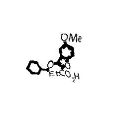 CCC(Oc1c(C(=O)O)oc2ccc(OC)cc12)C1CCCCC1